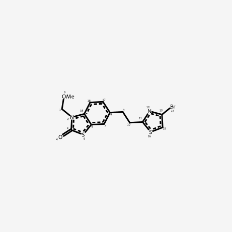 COCn1c(=O)sc2cc(CCc3nc(Br)cs3)ccc21